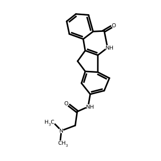 CN(C)CC(=O)Nc1ccc2c(c1)Cc1c-2[nH]c(=O)c2ccccc12